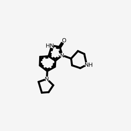 O=c1[nH]c2ccc(N3CCCC3)cc2n1C1CCNCC1